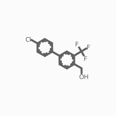 OCc1ccc(-c2ccc(Cl)cc2)cc1C(F)(F)F